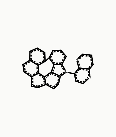 c1cc2c3c(c1)ccc1ccc4ccc5c(c6c-2cccc6n5-c2ccnc5cccnc25)c4c13